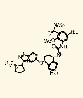 CNC(=O)c1cc(C(C)(C)C)cc(NC(=O)N[C@H]2CC[C@@H](Oc3ccc4nnc(C5CCCN5C)n4c3)c3ccccc32)c1OC.Cl